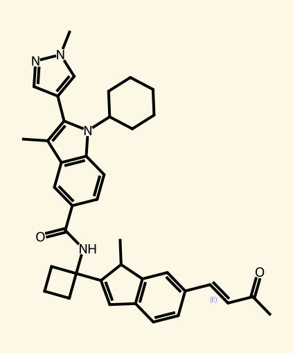 CC(=O)/C=C/c1ccc2c(c1)C(C)C(C1(NC(=O)c3ccc4c(c3)c(C)c(-c3cnn(C)c3)n4C3CCCCC3)CCC1)=C2